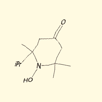 CC(C)C1(C)CC(=O)CC(C)(C)N1O